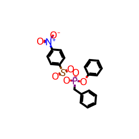 O=[N+]([O-])c1ccc(S(=O)(=O)OP(=O)(Cc2ccccc2)Oc2ccccc2)cc1